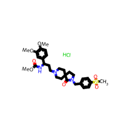 COC(=O)NC(CCN1CCC2(CC1)CCN(Cc1ccc(S(C)(=O)=O)cc1)C2=O)c1ccc(OC)c(OC)c1.Cl